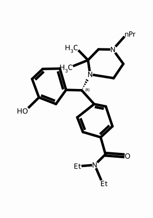 CCCN1CCN([C@H](c2ccc(C(=O)N(CC)CC)cc2)c2cccc(O)c2)C(C)(C)C1